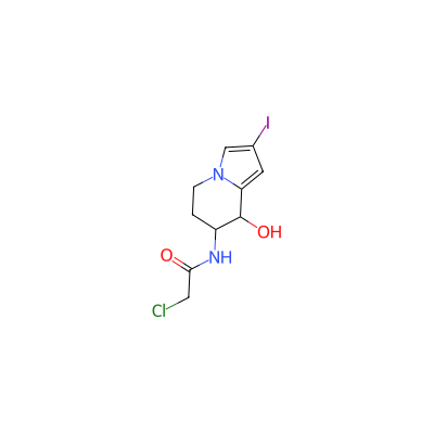 O=C(CCl)NC1CCn2cc(I)cc2C1O